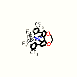 CCCC[N+]1(CCCC)Cc2c(-c3cc(C(F)(F)F)cc(C(F)(F)F)c3)ccc3c2-c2c(ccc(-c4cc(C(F)(F)F)cc(C(F)(F)F)c4)c2C1)OCCCO3